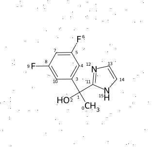 CC(O)(c1cc(F)cc(F)c1)c1ncc[nH]1